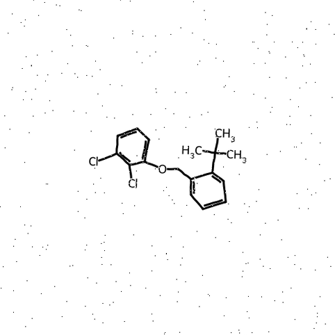 CC(C)(C)c1ccccc1COc1cccc(Cl)c1Cl